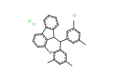 Cc1cc(C)cc(C(c2cc(C)cc(C)c2)C2c3ccccc3-c3ccc[c]([Ti+3])c32)c1.[Cl-].[Cl-].[Cl-]